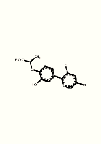 CCOC(=O)C(C)Oc1ccc(-c2ncc(Cl)cc2Cl)cc1O